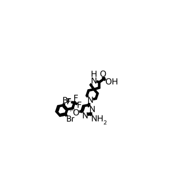 Nc1nc(O[C@H](c2c(Br)cccc2Br)C(F)(F)F)cc(N2CCC3(CC2)CNC(C(=O)O)C3)n1